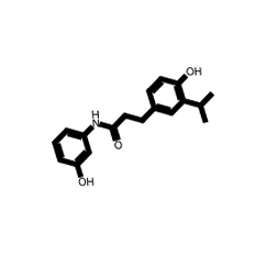 CC(C)c1cc(CCC(=O)Nc2cccc(O)c2)ccc1O